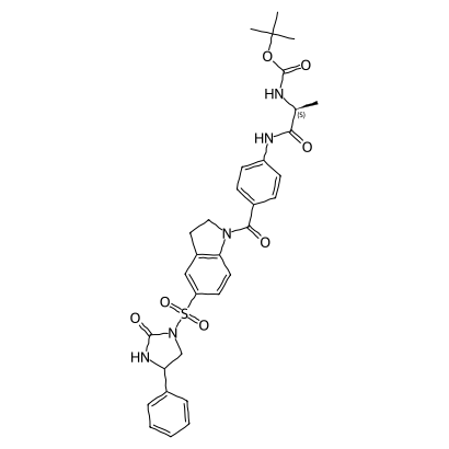 C[C@H](NC(=O)OC(C)(C)C)C(=O)Nc1ccc(C(=O)N2CCc3cc(S(=O)(=O)N4CC(c5ccccc5)NC4=O)ccc32)cc1